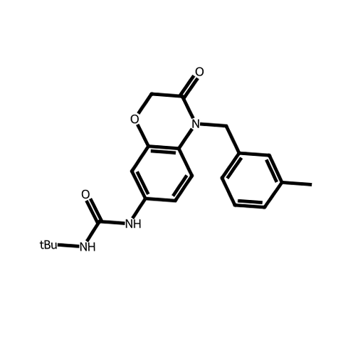 Cc1cccc(CN2C(=O)COc3cc(NC(=O)NC(C)(C)C)ccc32)c1